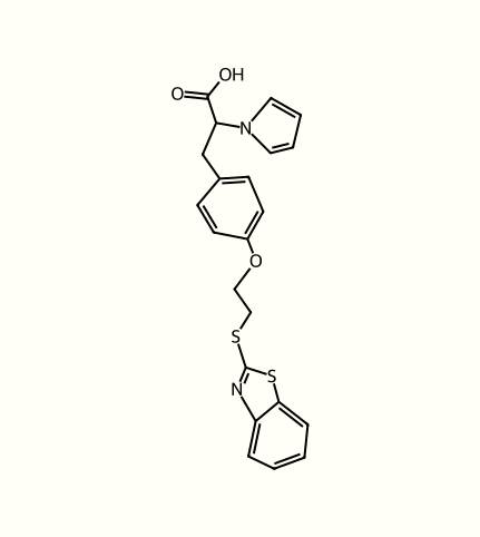 O=C(O)C(Cc1ccc(OCCSc2nc3ccccc3s2)cc1)n1cccc1